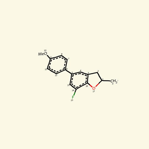 [CH2]C1Cc2cc(-c3ccc(OC)cc3)cc(F)c2O1